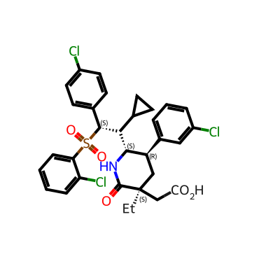 CC[C@@]1(CC(=O)O)C[C@H](c2cccc(Cl)c2)[C@@H](C(C2CC2)[C@@H](c2ccc(Cl)cc2)S(=O)(=O)c2ccccc2Cl)NC1=O